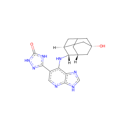 O=c1[nH]nc(-c2cnc3[nH]cnc3c2N[C@H]2[C@@H]3CC4C[C@H]2C[C@@](O)(C4)C3)[nH]1